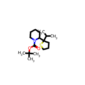 CC(C)C1(C2CCCCN2C(=O)OC(C)(C)C)CCCS1